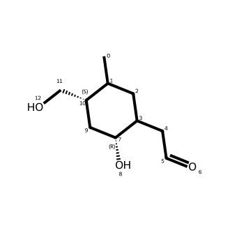 CC1CC(CC=O)[C@H](O)C[C@@H]1CO